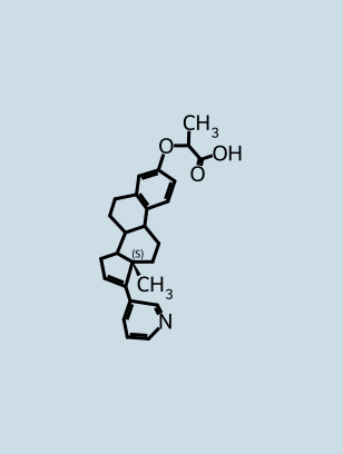 CC(Oc1ccc2c(c1)CCC1C2CC[C@]2(C)C(c3cccnc3)=CCC12)C(=O)O